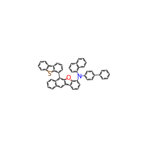 c1ccc(-c2ccc(N(c3cccc4ccccc34)c3cccc4c3oc3c(-c5cccc6c5sc5ccccc56)c5ccccc5cc34)cc2)cc1